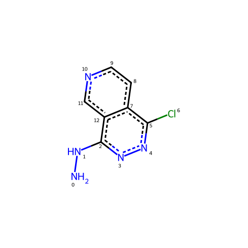 NNc1nnc(Cl)c2ccncc12